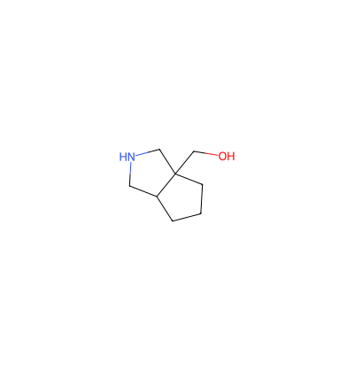 OCC12CCCC1CNC2